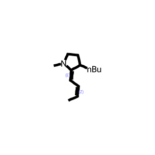 C/C=C\C=C1/C(CCCC)CCN1C